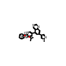 CC(C)CNC(=O)N1C2CC1CN(c1ccc(-c3cc(-c4cnn(C)c4)cc4ncncc34)cn1)C2